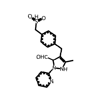 CC1=C(Cc2ccc(C[SH](=O)=O)cc2)C(C=O)N(c2ccccn2)N1